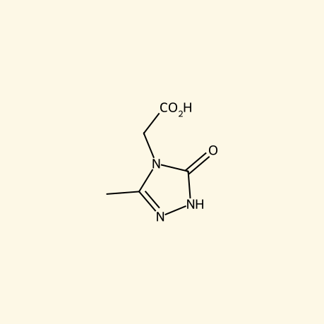 Cc1n[nH]c(=O)n1CC(=O)O